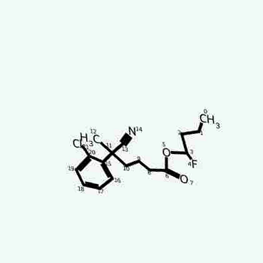 CCCC(F)OC(=O)CCCC(C)(C#N)c1ccccc1Cl